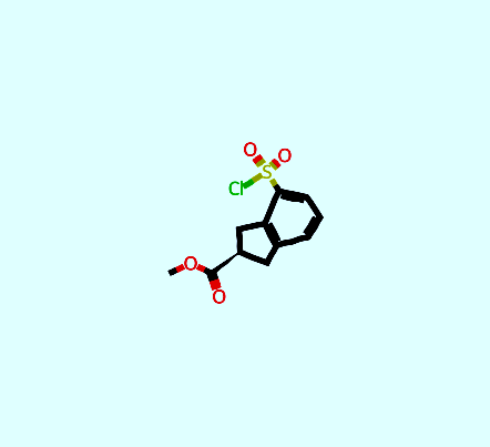 COC(=O)[C@@H]1Cc2cccc(S(=O)(=O)Cl)c2C1